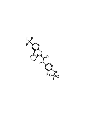 CC(C(=O)NCc1ccc(C(F)(F)F)cc1N1CCCC1)c1ccc(NS(C)(=O)=O)c(F)c1